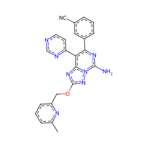 Cc1cccc(COc2nc3c(-c4ccncn4)c(-c4cccc(C#N)c4)nc(N)n3n2)n1